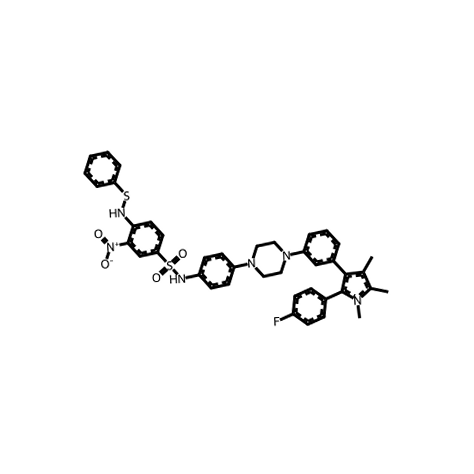 Cc1c(-c2cccc(N3CCN(c4ccc(NS(=O)(=O)c5ccc(NSc6ccccc6)c([N+](=O)[O-])c5)cc4)CC3)c2)c(-c2ccc(F)cc2)n(C)c1C